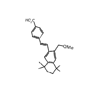 COCc1cc2c(cc1/C=C/c1ccc(C(=O)O)cc1)C(C)(C)CCC2(C)C